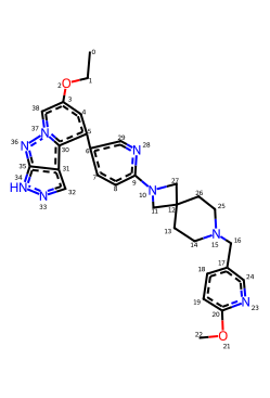 CCOc1cc(-c2ccc(N3CC4(CCN(Cc5ccc(OC)nc5)CC4)C3)nc2)c2c3cn[nH]c3nn2c1